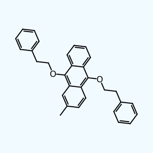 Cc1ccc2c(OCCc3ccccc3)c3ccccc3c(OCCc3ccccc3)c2c1